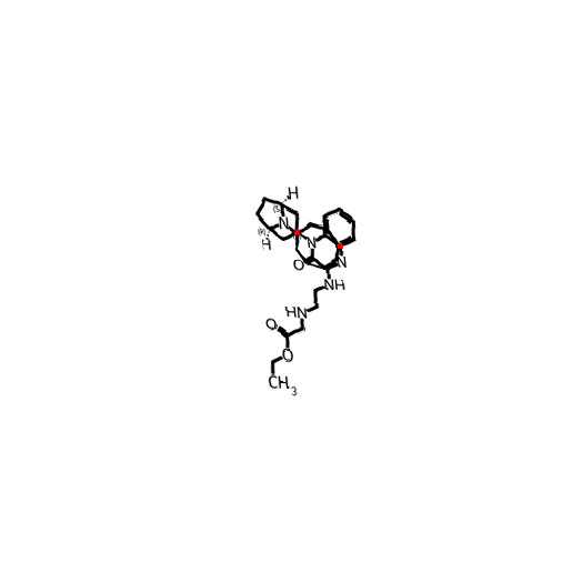 CCOC(=O)CNCCNc1nc2ccccc2n([C@H]2C[C@H]3CC[C@@H](C2)N3C2CCCCCCC2)c1=O